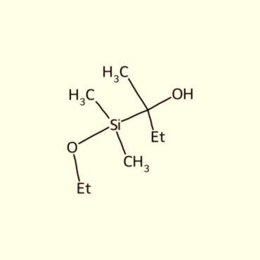 CCO[Si](C)(C)C(C)(O)CC